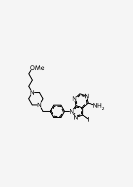 COCCCN1CCN(Cc2ccc(-n3nc(I)c4c(N)ncnc43)cc2)CC1